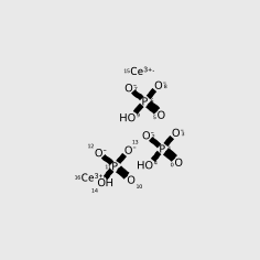 O=P([O-])([O-])O.O=P([O-])([O-])O.O=P([O-])([O-])O.[Ce+3].[Ce+3]